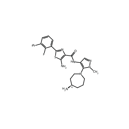 CC(C)c1cccc(-c2nc(C(=O)Nc3cnn(C)c3N3CCC[C@@H](N)CC3)c(N)s2)c1F